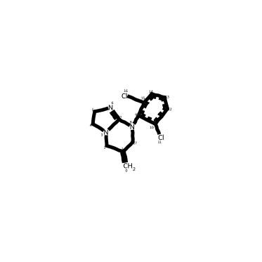 C=C1CN2CCN=C2N(c2c(Cl)cccc2Cl)C1